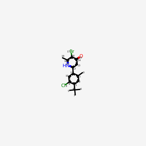 Cc1cc(C(C)(C)C)c(Cl)cc1-c1cc(=O)c(Br)c(C)[nH]1